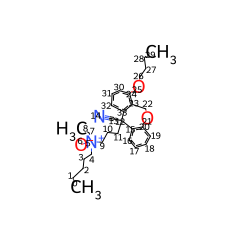 CCCCC[N+]([O-])(CC)CCCC1(C#N)c2ccccc2OCc2c(OCCCC)cccc21